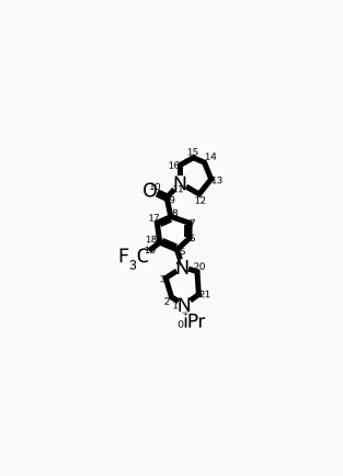 CC(C)N1CCN(c2ccc(C(=O)N3CCCCC3)cc2C(F)(F)F)CC1